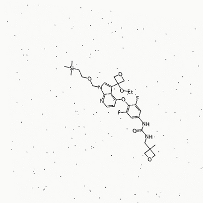 CCOC1(c2cn(COCC[Si](C)(C)C)c3nccc(Oc4c(F)cc(NC(=O)NCC5(C)COC5)cc4F)c23)COC1